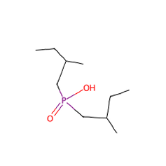 CCC(C)CP(=O)(O)CC(C)CC